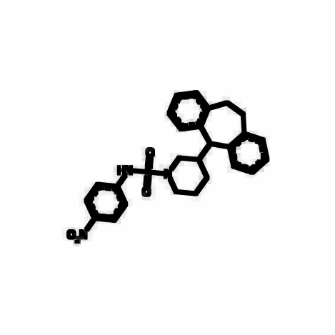 O=[N+]([O-])c1ccc(NS(=O)(=O)N2CCCC(C3c4ccccc4CCc4ccccc43)C2)cc1